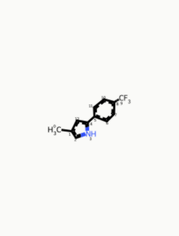 Cc1c[nH]c(-c2ccc(C(F)(F)F)cc2)c1